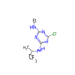 CCNc1nc(Cl)nc(NC(C)C(F)(F)F)n1